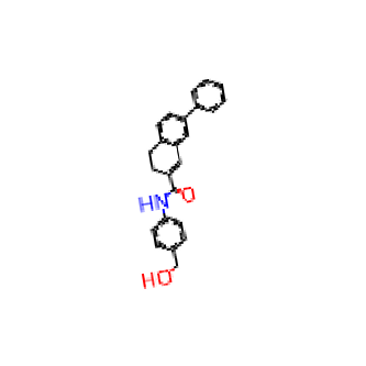 O=C(Nc1ccc(CO)cc1)C1=Cc2cc(-c3ccccc3)ccc2CC1